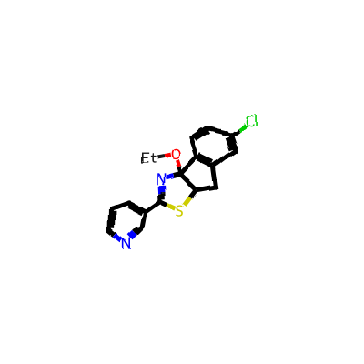 CCOC12N=C(c3cccnc3)SC1Cc1cc(Cl)ccc12